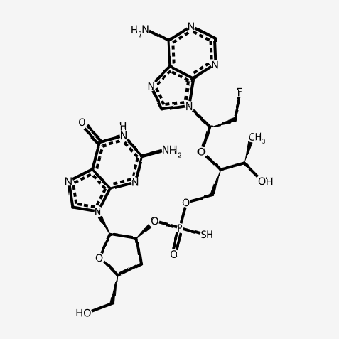 C[C@@H](O)[C@@H](COP(=O)(S)O[C@H]1C[C@@H](CO)O[C@H]1n1cnc2c(=O)[nH]c(N)nc21)O[C@H](CF)n1cnc2c(N)ncnc21